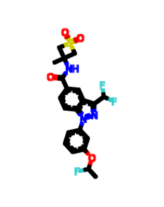 CC(F)Oc1cccc(-n2nc(C(F)F)c3cc(C(=O)NC4(C)CS(=O)(=O)C4)ccc32)c1